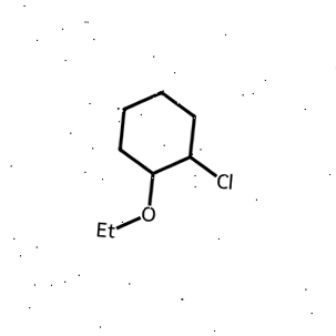 CCOC1C[CH]CCC1Cl